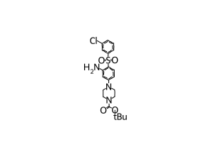 CC(C)(C)OC(=O)N1CCN(c2ccc(S(=O)(=O)c3cccc(Cl)c3)c(N)c2)CC1